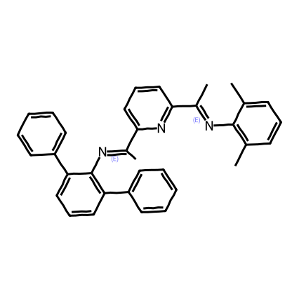 C/C(=N\c1c(C)cccc1C)c1cccc(/C(C)=N/c2c(-c3ccccc3)cccc2-c2ccccc2)n1